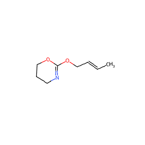 CC=CCOC1=NCCCO1